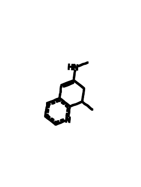 CNC1=Cc2cccnc2C(C)C1